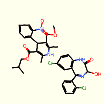 COC(=O)C1=C(C)NC(C)=C(C(=O)OCC(C)C)C1c1ccccc1[N+](=O)[O-].O=C1Nc2ccc(Cl)cc2C(c2ccccc2Cl)=NC1O